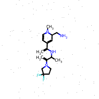 C=C(NC(C)C(=C)N1CCC(F)(F)C1)C1=CC(CN)N(C)C=C1